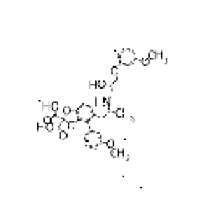 COc1cccc(OCC(O)CNC(C)Cc2ccc3c(c2-c2cccc(OC)c2)OC(C(=O)O)(C(=O)O)O3)c1